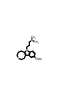 COc1ccc2c(c1)c1c(n2CCCN(C)C)CCCSCC1